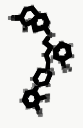 O=C1CCc2ccc(OCCCCN3CCN(c4cccc(Cl)c4Cl)CC3)cc2N1.Pc1ccccc1